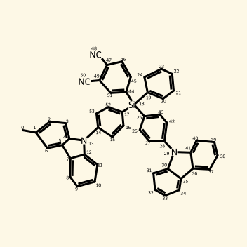 Cc1ccc2c(c1)c1ccccc1n2-c1ccc([Si](c2ccccc2)(c2ccc(-n3c4ccccc4c4ccccc43)cc2)c2ccc(C#N)c(C#N)c2)cc1